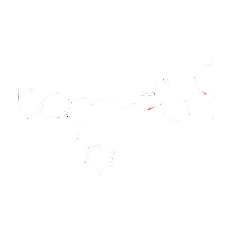 COC(=O)[C@@]1(OCCOCCN(Cc2ccccc2)C(=O)OCc2ccccc2)C[C@@H](O)[C@@H](O)C([C@H](O)COC(C)=O)O1